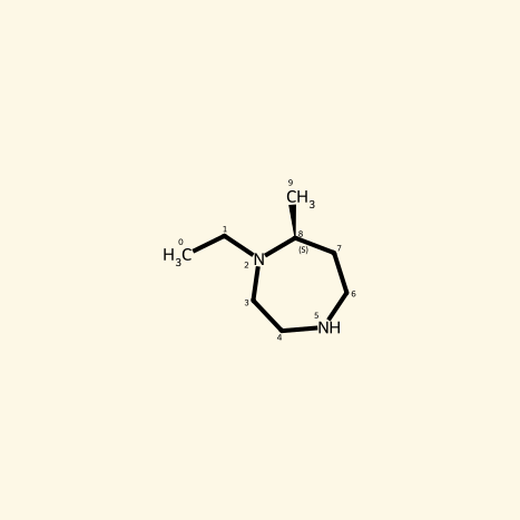 CCN1CCNCC[C@@H]1C